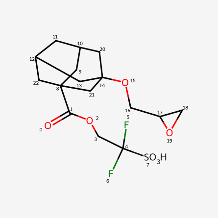 O=C(OCC(F)(F)S(=O)(=O)O)C12CC3CC(CC(OCC4CO4)(C3)C1)C2